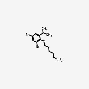 [CH2]CCCCCOc1c(Br)cc(Br)cc1C(C)C